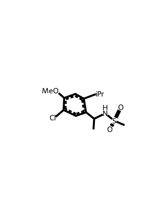 COc1cc(C(C)C)c(C(C)NS(C)(=O)=O)cc1Cl